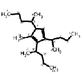 CCCC(C)C1=CC(C(C)CCC)C([SiH3])=C1C(C)CCC